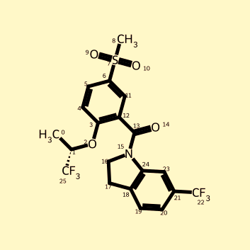 C[C@H](Oc1ccc(S(C)(=O)=O)cc1C(=O)N1CCc2ccc(C(F)(F)F)cc21)C(F)(F)F